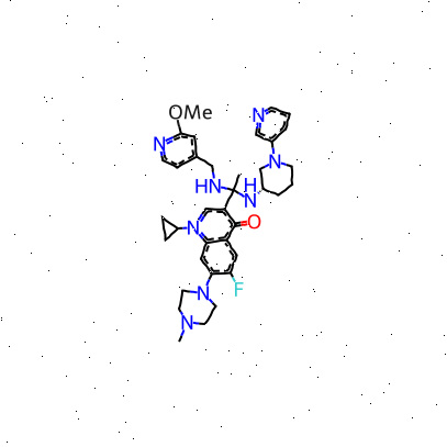 COc1cc(CNC(C)(N[C@H]2CCCN(c3cccnc3)C2)c2cn(C3CC3)c3cc(N4CCN(C)CC4)c(F)cc3c2=O)ccn1